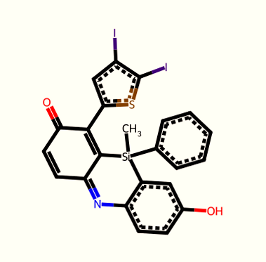 C[Si]1(c2ccccc2)C2=C(c3cc(I)c(I)s3)C(=O)C=CC2=Nc2ccc(O)cc21